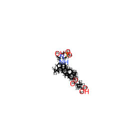 CC1(C2CC[C@]3(NC[C@@H](CO)N4CCS(=O)(=O)CC4)CC[C@]4(C)[C@H](CC[C@@H]5[C@@]6(C)CC[C@H](OC(=O)[C@H]7C[C@@H](C(=O)O)C7(C)C)C(C)(C)[C@@H]6CC[C@]54C)[C@@H]23)CC1